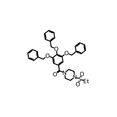 CCS(=O)(=O)N1CCN(C(=O)c2cc(OCc3ccccc3)c(OCc3ccccc3)c(OCc3ccccc3)c2)CC1